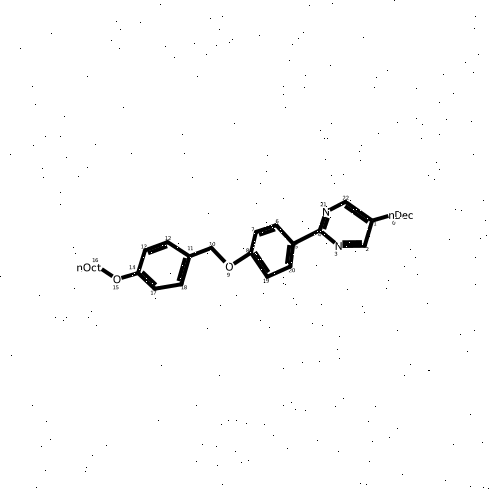 CCCCCCCCCCc1cnc(-c2ccc(OCc3ccc(OCCCCCCCC)cc3)cc2)nc1